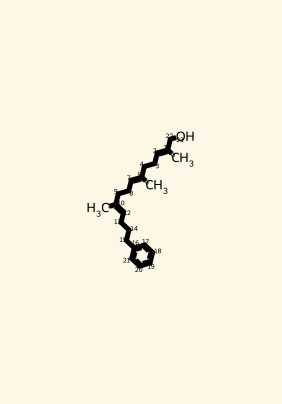 C/C(=C\CC/C(C)=C/CC/C(C)=C/CCCc1ccccc1)CO